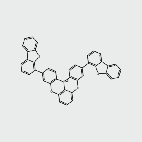 S=P12c3ccc(-c4cccc5c4sc4ccccc45)cc3Oc3cccc(c31)Oc1cc(-c3cccc4c3sc3ccccc34)ccc12